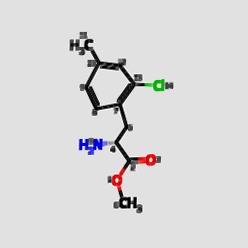 COC(=O)[C@H](N)Cc1ccc(C)cc1Cl